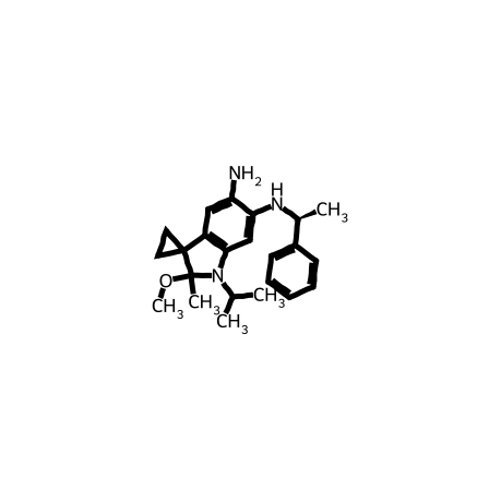 COC1(C)N(C(C)C)c2cc(N[C@@H](C)c3ccccc3)c(N)cc2C12CC2